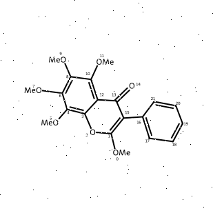 COc1oc2c(OC)c(OC)c(OC)c(OC)c2c(=O)c1-c1ccccc1